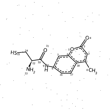 Cc1cc(=O)oc2cc(NC(=O)[C@@H](N)CS)ccc12